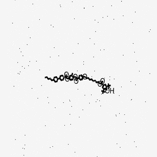 CCCCCC1CCC(C2CCC(C(=O)Oc3ccc(OC(=O)c4ccc(OCCCCCCCCOC(=O)c5cc(C(C)(C)C)c(O)c(C(C)(C)C)c5)cc4)c(C)c3)CC2)CC1